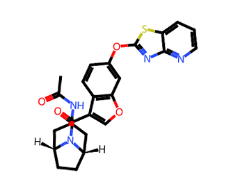 CC(=O)NC1C[C@H]2CC[C@@H](C1)N2C(=O)c1coc2cc(Oc3nc4ncccc4s3)ccc12